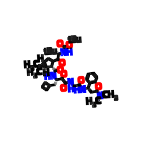 CN(C)C(=O)C[C@@H](NC(=O)CNC(=O)C(=O)[C@H](CC1CCC1)NC(=O)[C@H]1C(C(=O)[C@@H](NC(=O)OC(C)(C)C)C(C)(C)C)C[C@H]2[C@@H]1C2(C)C)c1ccccc1